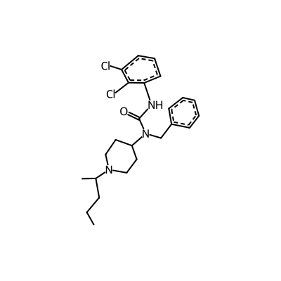 CCCC(C)N1CCC(N(Cc2ccccc2)C(=O)Nc2cccc(Cl)c2Cl)CC1